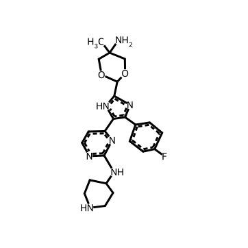 CC1(N)COC(c2nc(-c3ccc(F)cc3)c(-c3ccnc(NC4CCNCC4)n3)[nH]2)OC1